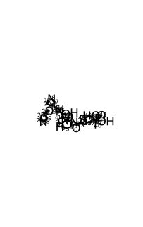 O=C(N[C@H]1CCC[C@H]2CC[C@@H](C(=O)N3CC(c4cnccc4OCc4ccncc4)C3)N2C1=O)c1cc2cc(C(F)P(=O)(O)O)ccc2s1